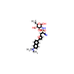 CC[C@H]1OC(O)[C@H](NS(=O)(=O)/C(C#N)=C/c2ccc(-c3ccc4cc(N(C)C)ccc4c3)o2)[C@@H](O)[C@@H]1O